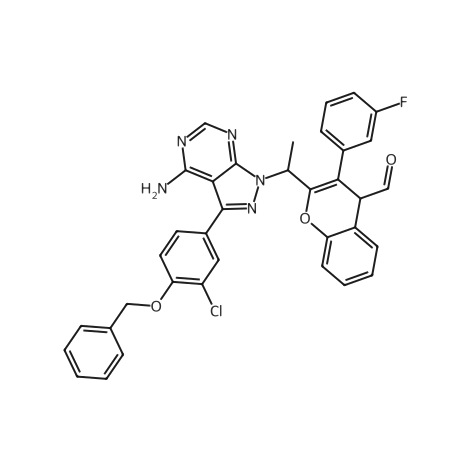 CC(C1=C(c2cccc(F)c2)C(C=O)c2ccccc2O1)n1nc(-c2ccc(OCc3ccccc3)c(Cl)c2)c2c(N)ncnc21